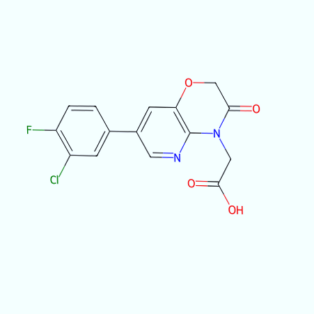 O=C(O)CN1C(=O)COc2cc(-c3ccc(F)c(Cl)c3)cnc21